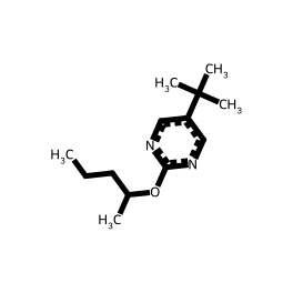 CCCC(C)Oc1ncc(C(C)(C)C)cn1